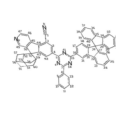 N#Cc1cc(-c2nc(-c3ccccc3)nc(-c3ccc4c(c3)-c3ccccc3C43c4ccccc4-c4ccccc43)n2)cc2c1-c1ccncc1C21C2CC3CC(C2)CC1C3